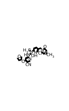 CN1CCN(Cc2ccc(N(C)C(O)Nc3cc(OC4CCOC4)c(C#N)cn3)nc2C=O)C(=O)C1